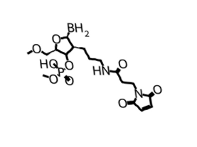 B[C@@H]1O[C@H](COC)C(OP(=O)(O)OC)[C@@H]1CCCNC(=O)CCN1C(=O)C=CC1=O